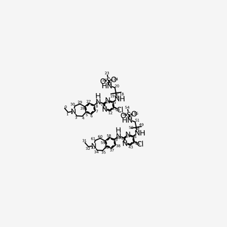 CCN1CCc2ccc(Nc3ncc(Cl)c(NC(C)(C)CNS(C)(=O)=O)n3)cc2CC1.CCN1CCc2ccc(Nc3ncc(Cl)c(NC(C)(C)CNS(C)(=O)=O)n3)cc2CC1